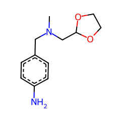 CN(Cc1ccc(N)cc1)CC1OCCO1